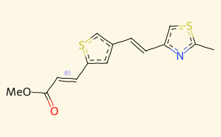 COC(=O)/C=C/c1cc(C=Cc2csc(C)n2)cs1